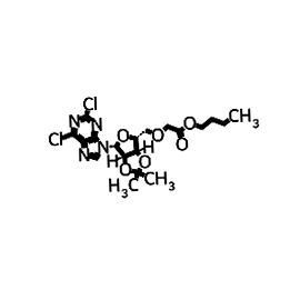 CCCCOC(=O)COC[C@H]1O[C@@H](n2cnc3c(Cl)nc(Cl)nc32)[C@@H]2OC(C)(C)O[C@@H]21